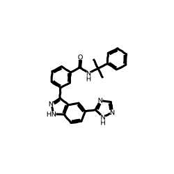 CC(C)(NC(=O)c1cccc(-c2n[nH]c3ccc(-c4ncn[nH]4)cc23)c1)c1ccccc1